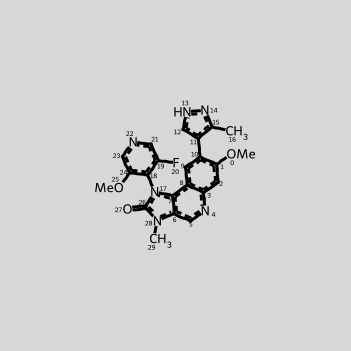 COc1cc2ncc3c(c2cc1-c1c[nH]nc1C)n(-c1c(F)cncc1OC)c(=O)n3C